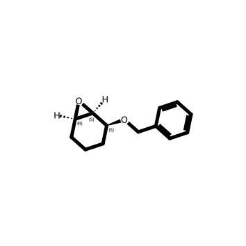 c1ccc(CO[C@H]2CCC[C@H]3O[C@@H]23)cc1